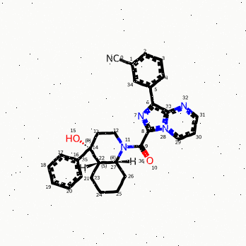 N#Cc1cccc(-c2nc(C(=O)N3CC[C@](O)(c4ccccc4)[C@H]4CCCC[C@H]43)n3cccnc23)c1